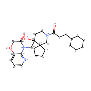 O=C(CCC1CCCCC1)N1CCC(O)(CN2C(=O)COc3cccnc32)C2(CCCC2)C1